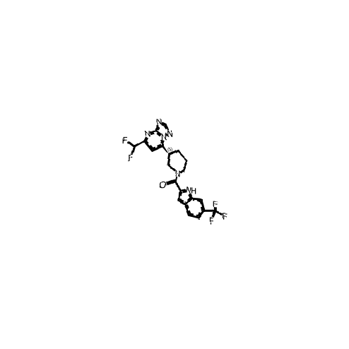 O=C(c1cc2ccc(C(F)(F)F)cc2[nH]1)N1CCC[C@H](c2cc(C(F)F)nc3ncnn23)C1